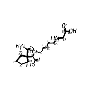 NC(=O)C1(C(NCCNCCNCC(=O)O)C(=O)O)CCCC1